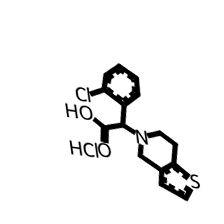 Cl.O=C(O)C(c1ccccc1Cl)N1CCc2sccc2C1